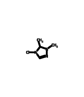 CC1N(Cl)C=NN1C